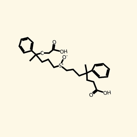 CC(CCC[S+]([O-])CCCC(C)(CCC(=O)O)c1ccccc1)(CCC(=O)O)c1ccccc1